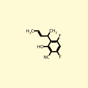 CC=CC(C)c1c(F)cc(F)c(C#N)c1O